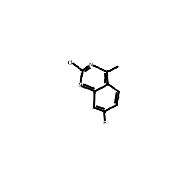 Cc1nc(Cl)nc2cc(F)ccc12